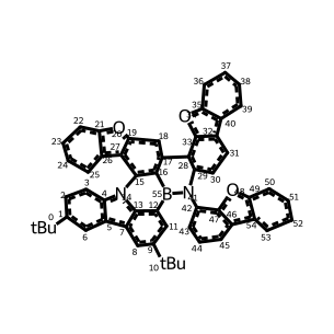 CC(C)(C)c1ccc2c(c1)c1cc(C(C)(C)C)cc3c1n2-c1c2c(cc4oc5ccccc5c14)-c1c(ccc4c1oc1ccccc14)N(c1cccc4c1oc1ccccc14)B23